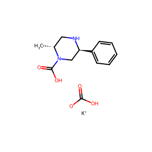 C[C@@H]1CN[C@@H](c2ccccc2)CN1C(=O)O.O=C([O-])O.[K+]